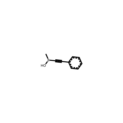 CB(O)C#Cc1ccccc1